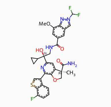 COc1cc(C(=O)NC[C@](O)(c2cc3c(c(-c4csc5c(F)cccc45)n2)OC[C@]3(C)C(N)=O)C2CC2)cc2cn(C(F)F)nc12